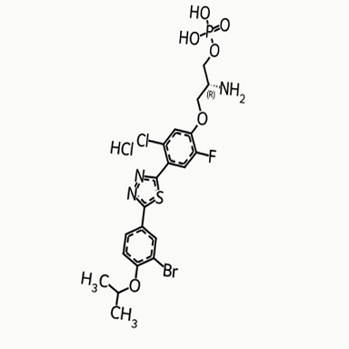 CC(C)Oc1ccc(-c2nnc(-c3cc(F)c(OC[C@@H](N)COP(=O)(O)O)cc3Cl)s2)cc1Br.Cl